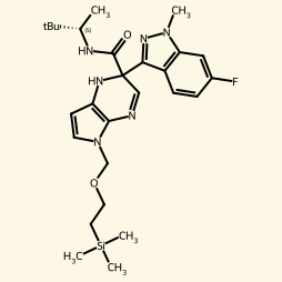 C[C@H](NC(=O)C1(c2nn(C)c3cc(F)ccc23)C=Nc2c(ccn2COCC[Si](C)(C)C)N1)C(C)(C)C